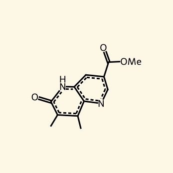 COC(=O)c1cnc2c(C)c(C)c(=O)[nH]c2c1